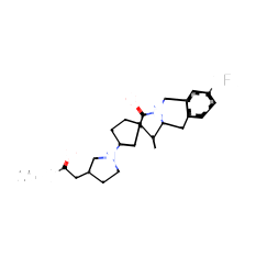 COC(=O)CC1CCN(C2CCC3(C2)C(=O)N2Cc4cc(C(F)(F)F)ccc4CC2C3C)C1